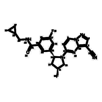 N#Cc1cnn2ccc(N3C[C@@H](F)C[C@@H]3c3cc(F)cc(C(=O)NCC4CC4)c3)nc12